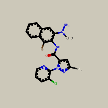 NN(C=O)c1cc2ccccc2c(Br)c1NC(=O)c1cc(C(F)(F)F)nn1-c1ncccc1Cl